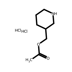 CC(=O)OCC1CCCNC1.Cl.Cl